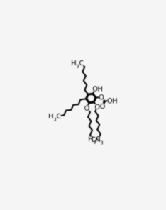 CCCCCCCOc1c(CCCCCCC)c(CCCCCCC)c(O)c(OC(=O)O)c1OCCCCCCC